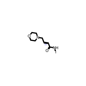 O=C(/C=C/CN1CCOCC1)NI